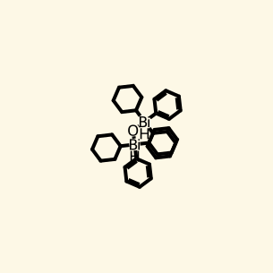 c1cc[c]([BiH]([O][BiH]([c]2ccccc2)([CH]2CCCCC2)[CH]2CCCCC2)([CH]2CCCCC2)[CH]2CCCCC2)cc1